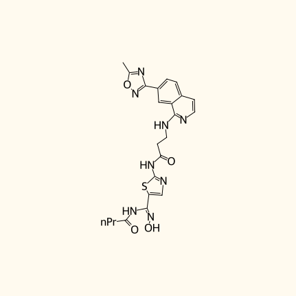 CCCC(=O)N/C(=N\O)c1cnc(NC(=O)CCNc2nccc3ccc(-c4noc(C)n4)cc23)s1